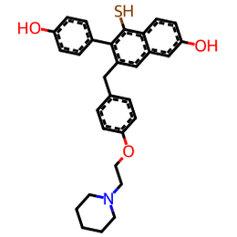 Oc1ccc(-c2c(Cc3ccc(OCCN4CCCCC4)cc3)cc3cc(O)ccc3c2S)cc1